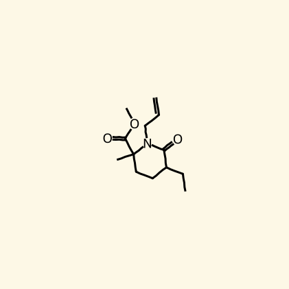 C=CCN1C(=O)C(CC)CCC1(C)C(=O)OC